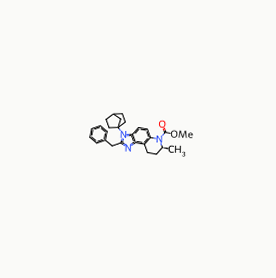 COC(=O)N1c2ccc3c(nc(Cc4ccccc4)n3C34CCC(CC3)C4)c2CC[C@@H]1C